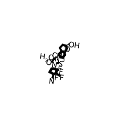 CC1(C)C(=O)N(c2ccc(C#N)c(C(F)(F)F)c2F)C(=S)N1c1ccc2c(c1)CC[C@H](CO)O2